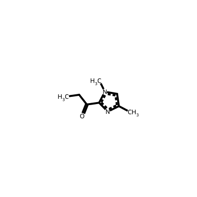 CCC(=O)c1nc(C)cn1C